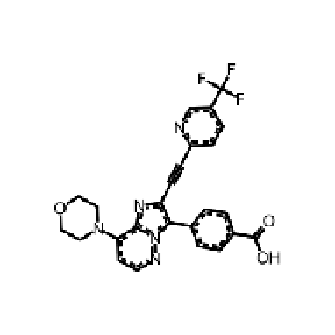 O=C(O)c1ccc(-c2c(C#Cc3ccc(C(F)(F)F)cn3)nc3c(N4CCOCC4)ccnn23)cc1